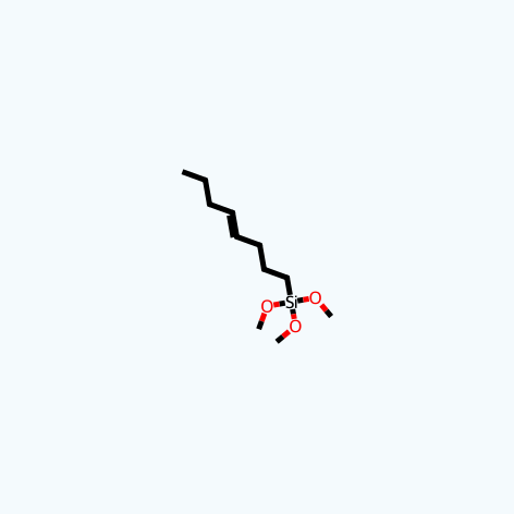 CCCC=CCCC[Si](OC)(OC)OC